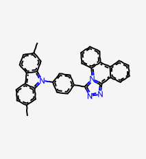 Cc1ccc2c3ccc(C)cc3n(-c3ccc(-c4nnc5c6ccccc6c6ccccc6n45)cc3)c2c1